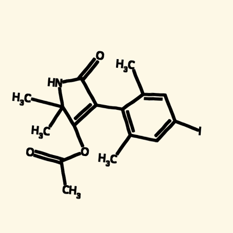 CC(=O)OC1=C(c2c(C)cc(I)cc2C)C(=O)NC1(C)C